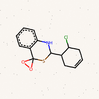 ClC1CC=CCC1C1Nc2ccccc2C2(OO2)S1